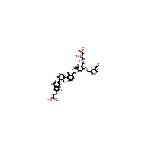 Cc1c(COc2cc(OCc3cncc(C#N)c3)c(CNC[C@@H](O)CC(=O)O)cc2Cl)cccc1-c1cccc(-c2ccc3c(c2)CC(NCC(=O)O)C3)c1C